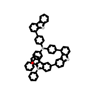 c1ccc(-c2ccc(N(c3ccc(-c4cccc5c4oc4ccccc45)cc3)c3ccc(-c4cccc5oc6ccc(-c7ccc8c(c7)c7ccccc7n8-c7ccccc7)cc6c45)cc3)cc2)cc1